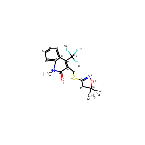 Cn1c(=O)c(CSC2=NOC(C)(C)C2)c(C(F)(F)F)c2ccccc21